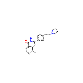 Cc1cccc2c(=O)[nH]c(-c3ccc(CCN4CCCC4)cc3)cc12